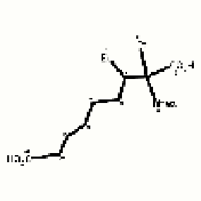 CCCCCCC(CC)(C(=O)O)C(CC)CCCCCC(=O)O